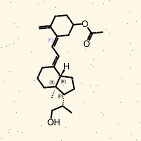 C=C1CCC(OC(C)=O)C/C1=C\C=C1CCC[C@]2(C)[C@@H](C(C)CO)CC[C@@H]12